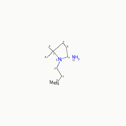 CNCCN1CCCC1(C)C.N